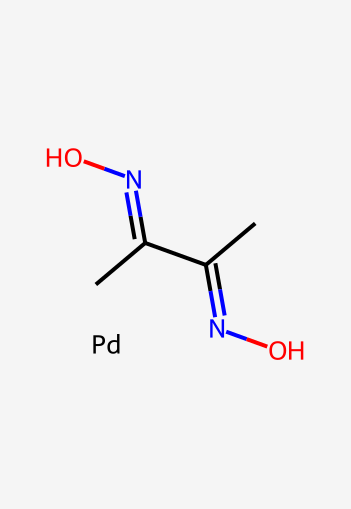 CC(=N\O)/C(C)=N/O.[Pd]